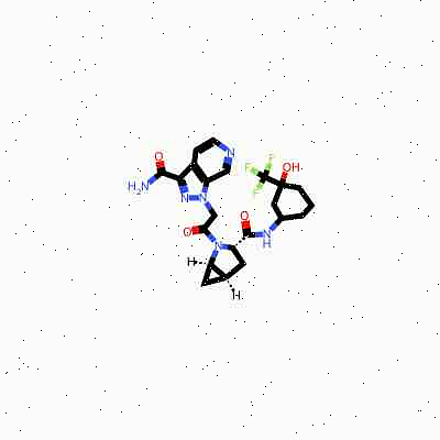 NC(=O)c1nn(CC(=O)N2[C@@H]3C[C@@H]3C[C@H]2C(=O)NC2CCCC(O)(C(F)(F)F)C2)c2cnccc12